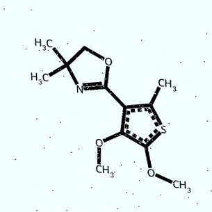 COc1sc(C)c(C2=NC(C)(C)CO2)c1OC